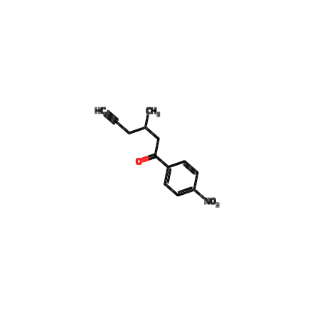 C#CCC(C)CC(=O)c1ccc([N+](=O)[O-])cc1